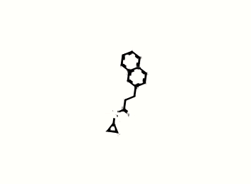 O=C(CCc1ccc2ccccc2c1)NC1CC1